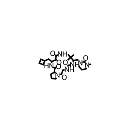 CN1CCCN(CC(NC(=O)NCC(=O)N2CCCC2C(=O)NC(CC2CCC2)C(=O)C(N)=O)C(C)(C)C)C1=O